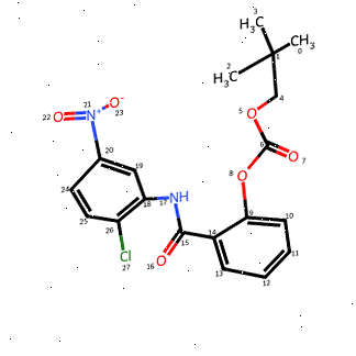 CC(C)(C)COC(=O)Oc1ccccc1C(=O)Nc1cc([N+](=O)[O-])ccc1Cl